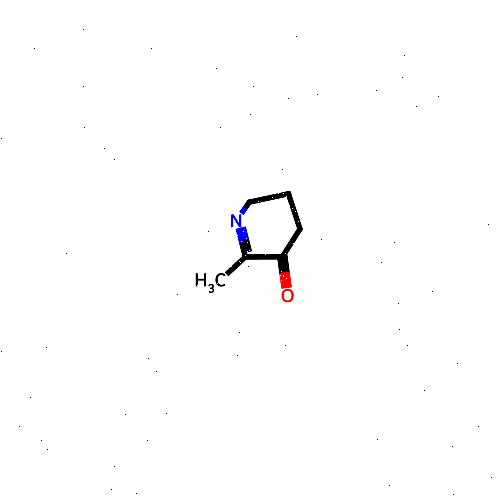 CC1=NCCCC1=O